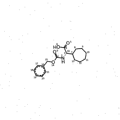 O=C(N[C@H](C(=O)O)C1CCCCCC1)OCc1ccccc1